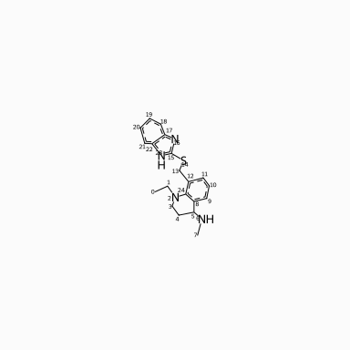 CCN1CCC(NC)c2cccc(CSc3nc4ccccc4[nH]3)c21